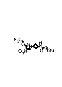 CC(C)(C)OC(=O)N[C@H]1C[C@H](n2cc([N+](=O)[O-])c(OCC(F)(F)F)n2)C1